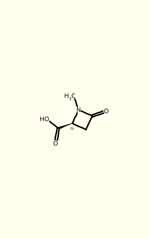 CN1C(=O)C[C@H]1C(=O)O